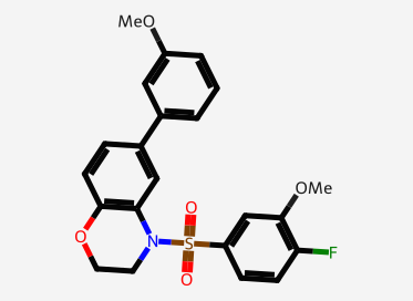 COc1cccc(-c2ccc3c(c2)N(S(=O)(=O)c2ccc(F)c(OC)c2)CCO3)c1